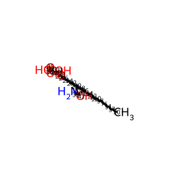 CCCCCCCCCCCCCCCCCCCCCCCCCCCCOCC(O)COP(=O)(O)O.NCCO